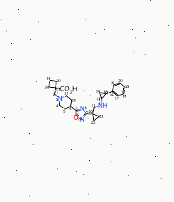 O=C(O)C1(CN2CCC(c3nc(C4(CN[C@@H]5C[C@H]5c5ccccc5)CC4)no3)CC2)CCC1